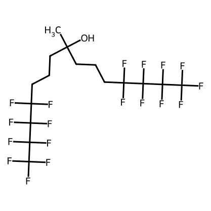 CC(O)(CCCC(F)(F)C(F)(F)C(F)(F)C(F)(F)F)CCCC(F)(F)C(F)(F)C(F)(F)C(F)(F)F